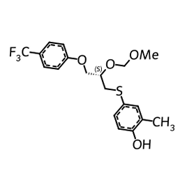 COCO[C@@H](COc1ccc(C(F)(F)F)cc1)CSc1ccc(O)c(C)c1